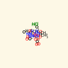 CC(C)[C@H](NC(=O)[C@@H](N)Cc1ccccc1)C(=O)N[C@@H](Cc1ccc2c(c1)OCO2)[C@@H](O)[C@H](O)[C@H](Cc1ccc2c(c1)OCO2)NC(=O)[C@@H](NC(=O)[C@@H](N)Cc1ccccc1)C(C)C.Cl.Cl